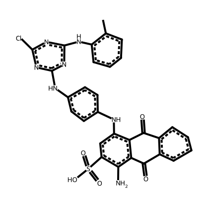 Cc1ccccc1Nc1nc(Cl)nc(Nc2ccc(Nc3cc(S(=O)(=O)O)c(N)c4c3C(=O)c3ccccc3C4=O)cc2)n1